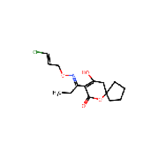 CC/C(=N\OC/C=C/Cl)C1=C(O)CC2(CCCC2)OC1=O